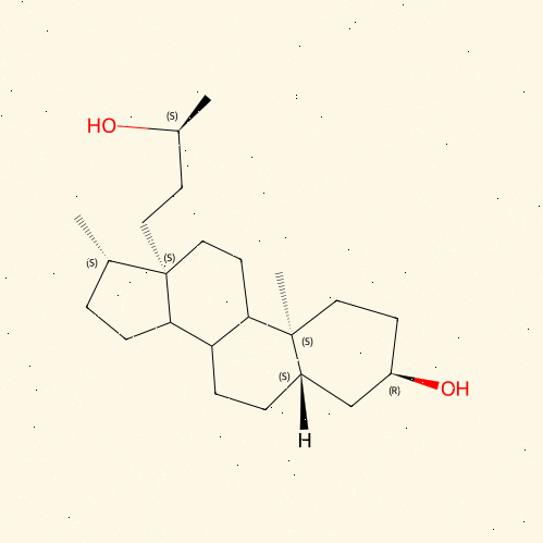 C[C@H](O)CC[C@]12CCC3C(CC[C@H]4C[C@H](O)CC[C@]34C)C1CC[C@@H]2C